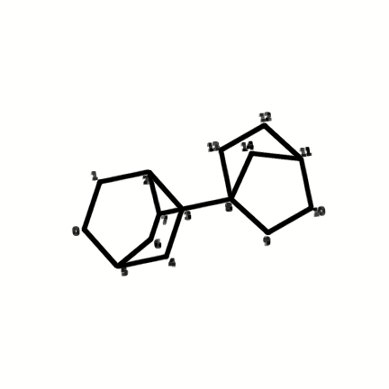 C1CC2CCC1CC2C12CCC(CC1)C2